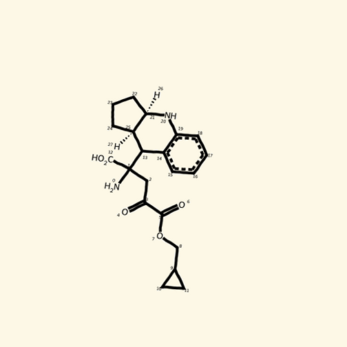 NC(CC(=O)C(=O)OCC1CC1)(C(=O)O)C1c2ccccc2N[C@@H]2CCC[C@H]12